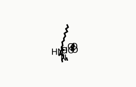 CCCCCCCCCCCC(=O)NC(C)CN(CC)CC.COS(=O)(=O)O